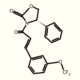 O=C(/C=C/c1cccc(OC(F)(F)F)c1)N1C(=O)OC[C@@H]1c1ccccc1